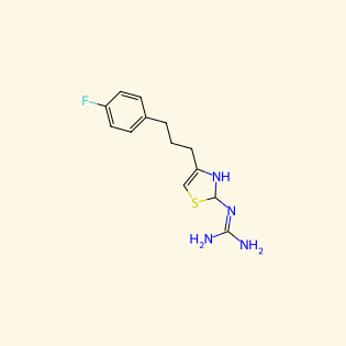 NC(N)=NC1NC(CCCc2ccc(F)cc2)=CS1